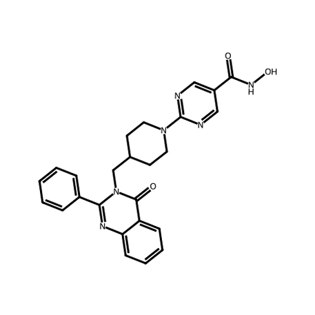 O=C(NO)c1cnc(N2CCC(Cn3c(-c4ccccc4)nc4ccccc4c3=O)CC2)nc1